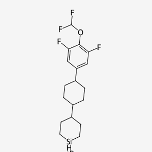 CCC[SiH]1CCC(C2CCC(c3cc(F)c(OC(F)F)c(F)c3)CC2)CC1